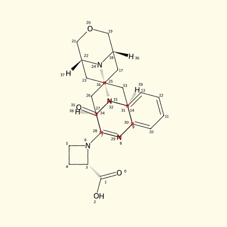 O=C(O)[C@@H]1CCN1c1nc2ccccc2n([C@H]2C[C@H]3COC[C@@H](C2)N3[C@H]2C[C@@H]3CCC[C@@H](C3)C2)c1=O